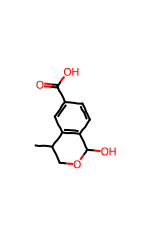 CC1COC(O)c2ccc(C(=O)O)cc21